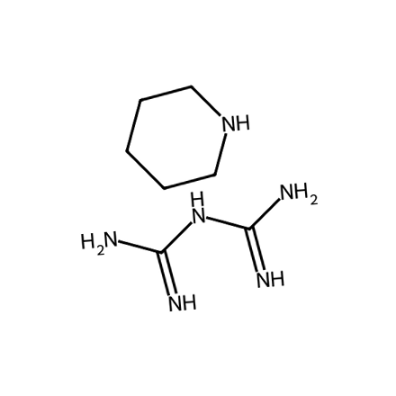 C1CCNCC1.N=C(N)NC(=N)N